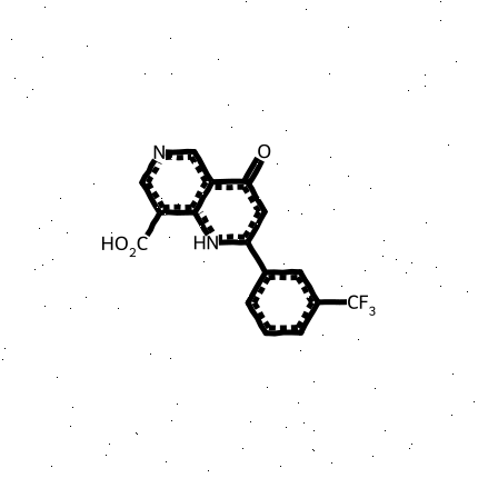 O=C(O)c1cncc2c(=O)cc(-c3cccc(C(F)(F)F)c3)[nH]c12